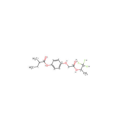 CCC(C)C(=O)Oc1ccc(OCC(=O)OC(C)C(F)(F)F)cc1